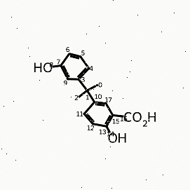 CC(C)(c1cccc(O)c1)c1ccc(O)c(C(=O)O)c1